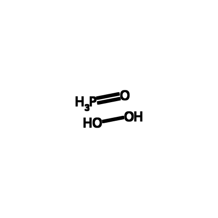 O=[PH3].OO